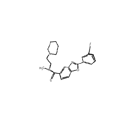 CN(CCN1CCCCC1)C(=O)c1ccc2oc(-c3cccc(F)c3)nc2c1